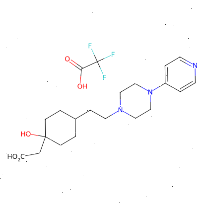 O=C(O)C(F)(F)F.O=C(O)CC1(O)CCC(CCN2CCN(c3ccncc3)CC2)CC1